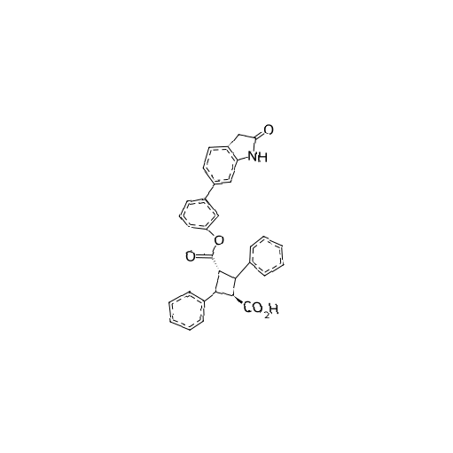 O=C1Cc2ccc(-c3cccc(OC(=O)[C@H]4C(c5ccccc5)[C@H](C(=O)O)C4c4ccccc4)c3)cc2N1